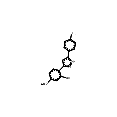 COc1ccc(-c2cc(-c3ccc(C)cc3)[nH]n2)c(O)c1